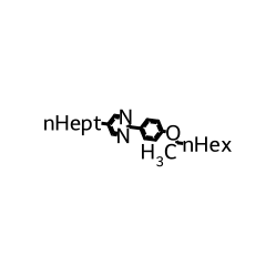 CCCCCCCc1cnc(-c2ccc(OC(C)CCCCCC)cc2)nc1